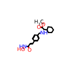 COC(=O)[C@@H](NCc1ccc(/C=C/C(=O)NO)cc1)C1CCCCC1